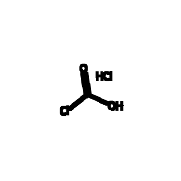 Cl.O=C(O)Cl